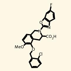 COc1ccc2c(c1OCc1ccccc1Cl)CC(C(=O)O)N(c1nc3ccc(F)cc3o1)C2